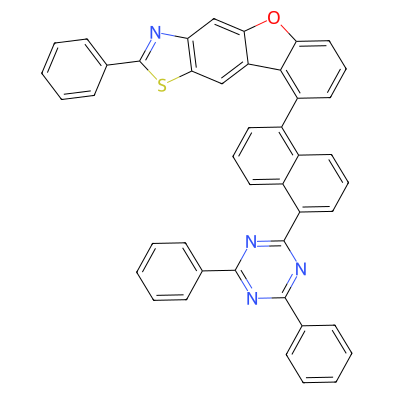 c1ccc(-c2nc(-c3ccccc3)nc(-c3cccc4c(-c5cccc6oc7cc8nc(-c9ccccc9)sc8cc7c56)cccc34)n2)cc1